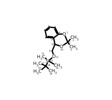 CC1(C)Oc2ccccc2C(CO[Si](C)(C)C(C)(C)C)O1